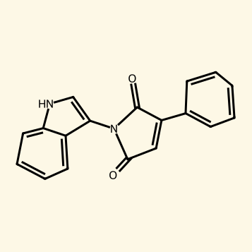 O=C1C=C(c2ccccc2)C(=O)N1c1c[nH]c2ccccc12